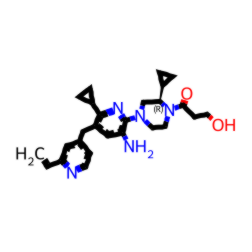 C=Cc1cc(Cc2cc(N)c(N3CCN(C(=O)CCO)[C@H](C4CC4)C3)nc2C2CC2)ccn1